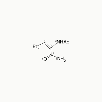 CCC=C(NC(C)=O)C(N)=O